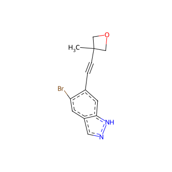 CC1(C#Cc2cc3[nH]ncc3cc2Br)COC1